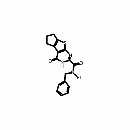 CCN(Cc1ccccc1)C(=O)c1nc2sc3c(c2c(=O)[nH]1)CCC3